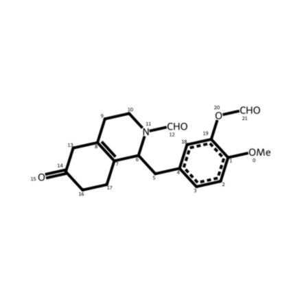 COc1ccc(CC2C3=C(CCN2C=O)CC(=O)CC3)cc1OC=O